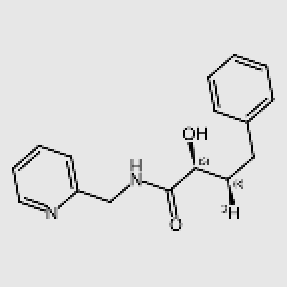 [2H][C@H](Cc1ccccc1)[C@H](O)C(=O)NCc1ccccn1